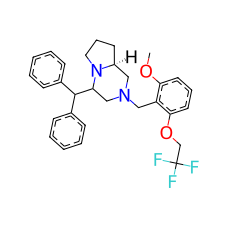 COc1cccc(OCC(F)(F)F)c1CN1CC(C(c2ccccc2)c2ccccc2)N2CCC[C@H]2C1